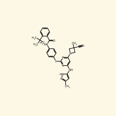 Cc1cc(Nc2cc(N3CC(C)(C#N)C3)nc(Sc3ccc(NC(=O)c4ccccc4C(C)(C)C)cc3)n2)[nH]n1